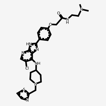 CN(C)CCNC(=O)COc1ccc(-c2nc3c(NC4CCN(Cc5nccs5)CC4)c(Cl)cnc3[nH]2)cc1